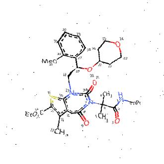 CCCNC(=O)C(C)(C)n1c(=O)c2c(C)c(C(=O)OCC)sc2n(C[C@H](OC2CCOCC2)c2ccccc2OC)c1=O